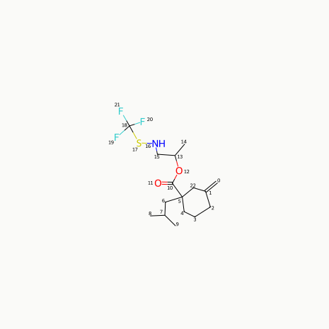 C=C1CCCC(CC(C)C)(C(=O)OC(C)CNSC(F)(F)F)C1